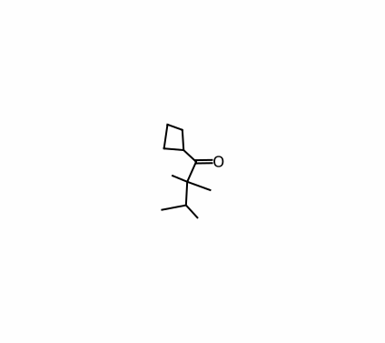 CC(C)C(C)(C)C(=O)C1CCC1